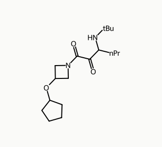 CCCC(NC(C)(C)C)C(=O)C(=O)N1CC(OC2CCCC2)C1